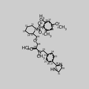 COc1cc(C)c(S(=O)(=O)N2CCCCC2COCC(=O)N(C)Cc2ccc(C3=NCCN3)cc2)c(C)c1.Cl